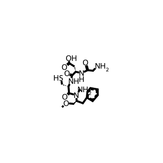 COC[C@H](Cc1ccccc1)N(N)C(=O)[C@H](CS)NC(=O)[C@H](CC(=O)O)NC(=O)CN